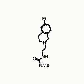 CCc1ccc2c(c1)CCN(CCNC(=O)NC)C2